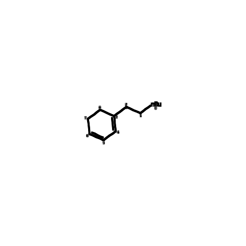 CCCCC[CH]C1=CC=CCC1